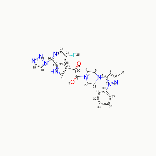 Cc1cc(N2CCN(C(=O)C(=O)c3c[nH]c4c(-n5ccnn5)ncc(F)c34)CC2)n(-c2ccccc2)n1